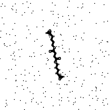 O=C(CCC(=O)OCCCCC1CO1)OCCCCC1CO1